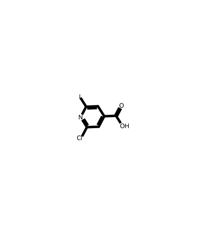 O=C(O)c1cc(Cl)nc(I)c1